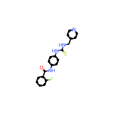 O=C(Nc1ccc(NC(=S)NCc2ccncc2)cc1)c1ccccc1F